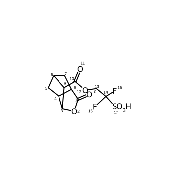 O=C1OC2C3CC(CC13)C2C(=O)OCC(F)(F)S(=O)(=O)O